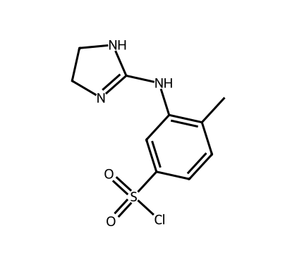 Cc1ccc(S(=O)(=O)Cl)cc1NC1=NCCN1